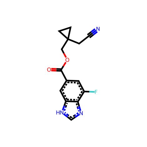 N#CCC1(COC(=O)c2cc(F)c3nc[nH]c3c2)CC1